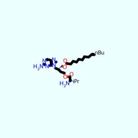 CCCCC=CCCCCCCCC(=O)OC[C@H](CCOC(=O)[C@@H](N)C(C)C)Cn1cnc2cnc(N)nc21